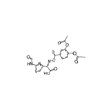 CC(=O)Oc1ccc(C(=O)ON=C(C(=O)O)c2csc(NC=O)n2)cc1OC(C)=O